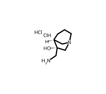 Cl.Cl.NC[C@]1(O)CN2CCC[C@H]1C2